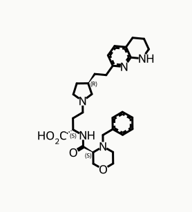 O=C(O)[C@H](CCN1CC[C@@H](CCc2ccc3c(n2)NCCC3)C1)NC(=O)[C@@H]1COCCN1Cc1ccccc1